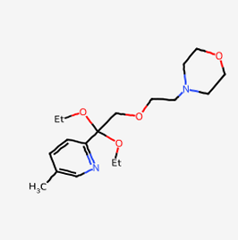 CCOC(COCCN1CCOCC1)(OCC)c1ccc(C)cn1